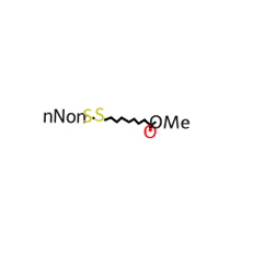 CCCCCCCCCSCSCCCCCCCCC(=O)OC